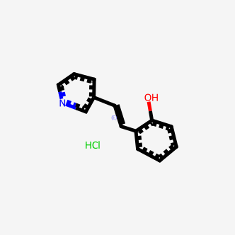 Cl.Oc1ccccc1/C=C/c1cccnc1